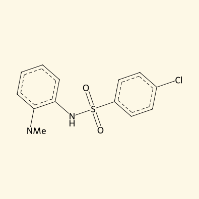 CNc1ccccc1NS(=O)(=O)c1ccc(Cl)cc1